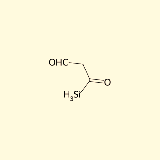 O=CCC(=O)[SiH3]